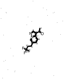 CC(=O)c1cnn2cc(CCC(F)(F)F)ccc12